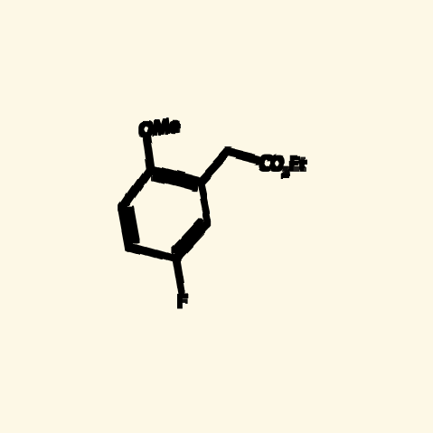 CCOC(=O)Cc1cc(F)ccc1OC